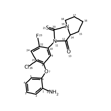 Nc1ccccc1Oc1cc(N2C(=O)C3CCCCN3C2=S)c(F)cc1Cl